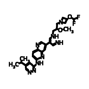 COC(CN/C=C(\C=N)c1cnc2ccc(Nc3cc(C(C)C)cnn3)nc2c1)CN1CC(OC(F)F)C1